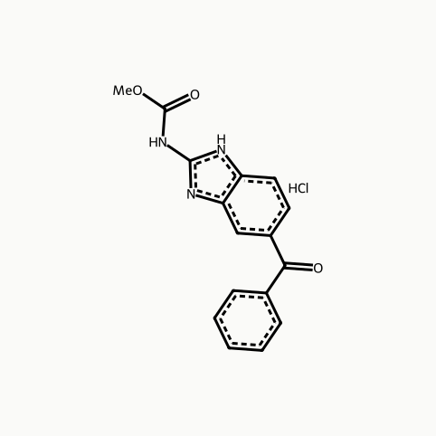 COC(=O)Nc1nc2cc(C(=O)c3ccccc3)ccc2[nH]1.Cl